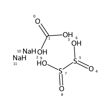 O=C(O)O.O=S(O)S(=O)O.[NaH].[NaH]